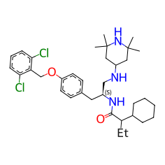 CCC(C(=O)N[C@H](CNC1CC(C)(C)NC(C)(C)C1)Cc1ccc(OCc2c(Cl)cccc2Cl)cc1)C1CCCCC1